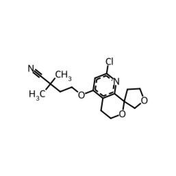 CC(C)(C#N)CCOc1cc(Cl)nc2c1CCOC21CCOC1